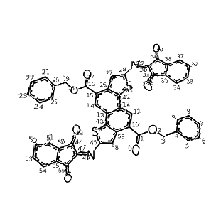 O=C(OCc1ccccc1)c1cc2c(cc(C(=O)OCc3ccccc3)c3cc(N=c4c(=O)c5ccccc5c4=O)sc32)c2sc(N=c3c(=O)c4ccccc4c3=O)cc12